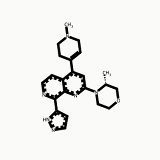 C[C@@H]1COCCN1c1cc(C2=CCN(C)CC2)c2ccnc(-c3ccn[nH]3)c2n1